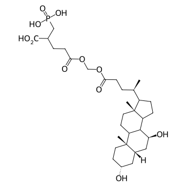 C[C@H](CCC(=O)OCOC(=O)CCC(CP(=O)(O)O)C(=O)O)C1CCC2C3C(CC[C@@]21C)[C@@]1(C)CC[C@@H](O)C[C@H]1C[C@@H]3O